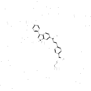 Cc1ccc(C2=CC(C)(C)c3cc(C(=O)/C=C/c4ccc(C(=O)OCCS)cc4)ccc32)cc1